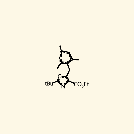 CCOC(=O)c1nc(C(C)(C)C)oc1Cc1c(C)cc(C)cc1C